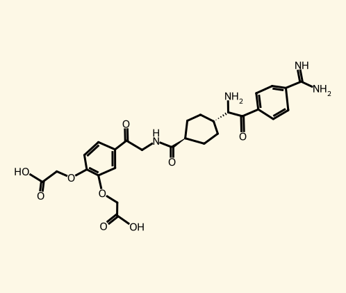 N=C(N)c1ccc(C(=O)C(N)[C@H]2CC[C@H](C(=O)NCC(=O)c3ccc(OCC(=O)O)c(OCC(=O)O)c3)CC2)cc1